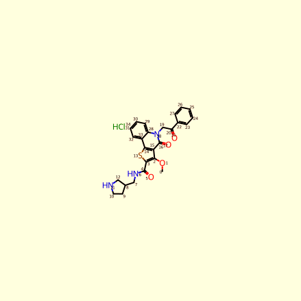 COc1c(C(=O)NCC2CCNC2)sc2c1c(=O)n(CC(=O)c1ccccc1)c1ccccc21.Cl